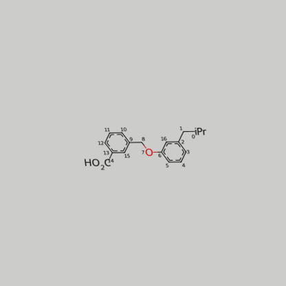 CC(C)Cc1cccc(OCc2cccc(C(=O)O)c2)c1